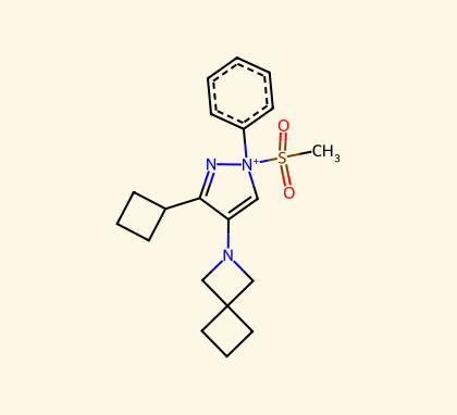 CS(=O)(=O)[N+]1(c2ccccc2)C=C(N2CC3(CCC3)C2)C(C2CCC2)=N1